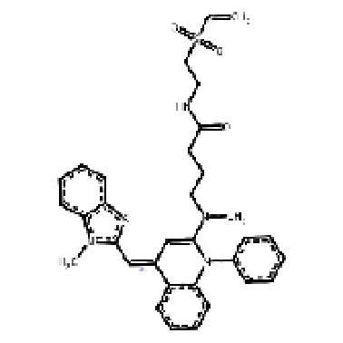 C=CS(=O)(=O)CCNC(=O)CCCN(C)C1=C/C(=C\c2sc3ccccc3[n+]2C)c2ccccc2N1c1ccccc1